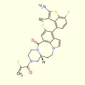 C=C(F)C(=O)N1CCN2C(=O)c3cc(F)c(-c4ccc(F)c5sc(N)c(C#N)c45)c4ccn(c34)CC[C@@H]2C1